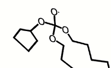 CCCCCOC([O])(OCCC)OC1CCCC1